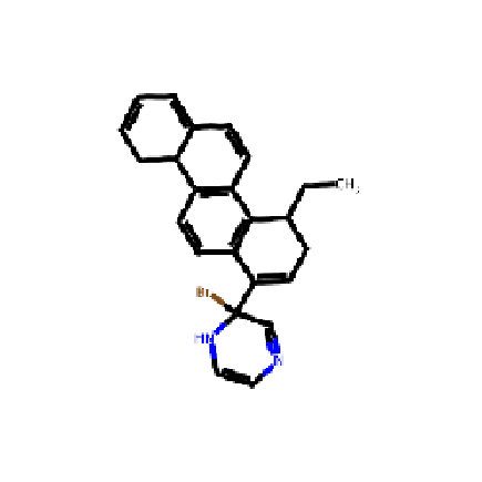 CCC1CC=C(C2(Br)C=NC=CN2)c2ccc3c(c21)C=CC1=CC=CCC13